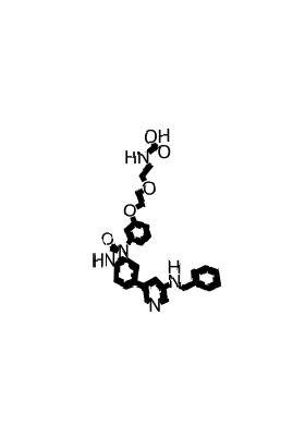 O=C(O)NCCOCCOc1cccc(-n2c(=O)[nH]c3ccc(-c4cncc(NCc5ccccc5)c4)cc32)c1